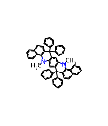 CN1c2cc3c(cc2C(c2ccccc2)(c2ccccc2)c2ccc4ccccc4c21)N(C)c1c(ccc2ccccc12)C3(c1ccccc1)c1ccccc1